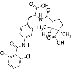 CC1(C(=O)O)CCC(C(=O)N[C@@H](Cc2ccc(NC(=O)c3c(Cl)cccc3Cl)cc2)C(=O)O)C1(C)C